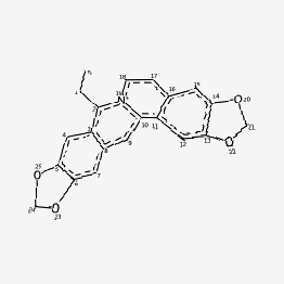 CCc1c2cc3c(cc2cc2c4cc5c(cc4cc[n+]12)OCO5)OCO3